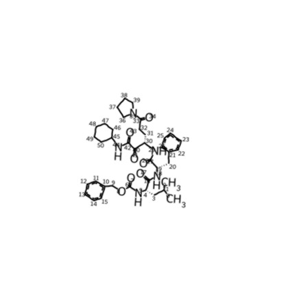 CC(C)C[C@H](NC(=O)OCc1ccccc1)C(=O)N[C@@H](Cc1ccccc1)C(=O)N[C@@H](CCC(=O)N1CCCC1)C(=O)C(=O)NC1CCCCC1